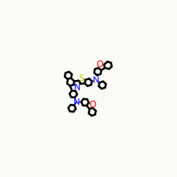 c1ccc(N(c2ccc3c(c2)sc2c4c5ccccc5cc5c6ccc(N(c7ccccc7)c7ccc8oc9ccccc9c8c7)cc6n(c32)c54)c2ccc3oc4ccccc4c3c2)cc1